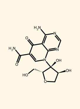 NC(=O)c1cn([C@]2(O)[C@@H](O)CO[C@@H]2CO)c2ncnc(N)c2c1=O